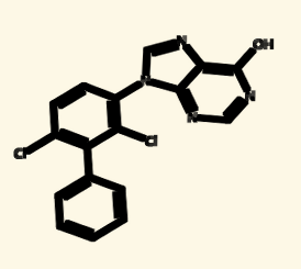 Oc1ncnc2c1ncn2-c1ccc(Cl)c(-c2ccccc2)c1Cl